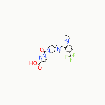 CN(Cc1cc(C(F)(F)F)ccc1N1CCCC1)C1(C)CCN(C(=O)n2ccc(C(=O)O)n2)CC1